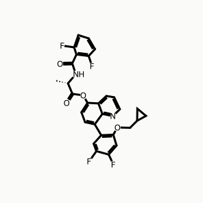 C[C@H](NC(=O)c1c(F)cccc1F)C(=O)Oc1ccc(-c2cc(F)c(F)cc2OCC2CC2)c2ncccc12